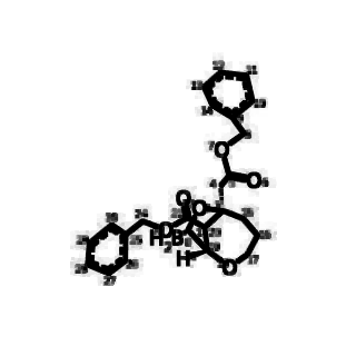 B[C@@H]1O[C@@]2(CC(=O)OCc3ccccc3)CCCO[C@H]1C2C(=O)OCc1ccccc1